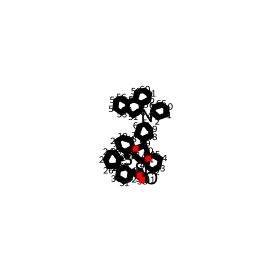 c1ccc(N(c2ccc(-c3ccc4c(c3)S(c3ccccc3)(c3ccccc3)c3ccccc3[Si]43c4ccccc4Oc4ccccc43)cc2)c2cc3ccccc3c3ccccc23)cc1